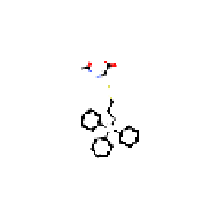 CC(=O)N[C@@H](CSCCC[Si](c1ccccc1)(c1ccccc1)c1ccccc1)C(=O)O